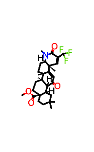 COC(=O)[C@]12CCC(C)(C)C[C@H]1[C@H]1C(=O)C=C3[C@@]4(C)C=C(C(F)(F)F)C(=O)N(C)[C@@H]4CC[C@@]3(C)[C@]1(C)CC2